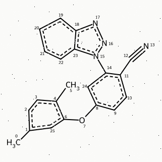 Cc1ccc(C)c(Oc2ccc(C#N)c(-n3nnc4ccccc43)c2)c1